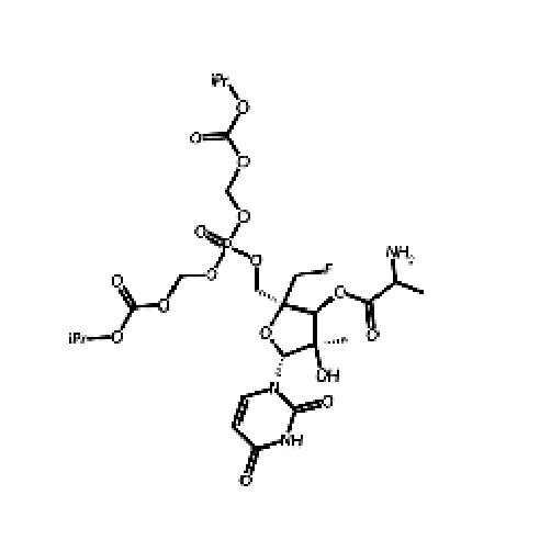 CC(C)OC(=O)OCOP(=O)(OCOC(=O)OC(C)C)OC[C@@]1(CF)O[C@@H](n2ccc(=O)[nH]c2=O)[C@](C)(O)[C@@H]1OC(=O)C(C)N